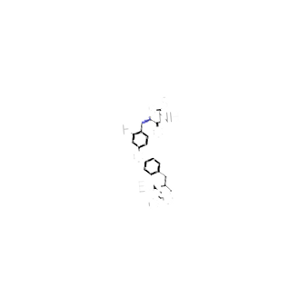 CCN1C(=O)OCC1Cc1ccc(Oc2ccc(/C=C3/SC(=S)NC3=O)c(F)c2)cc1